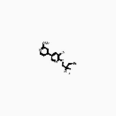 COc1cc(-c2cnc(OCC(C)(N)CC(C)C)c(C#N)c2)ccn1